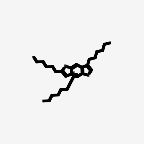 CCCCCCC1=CC23SC(CCCCCC)C=C2c2scc(CCCCCC)c2C=C3S1